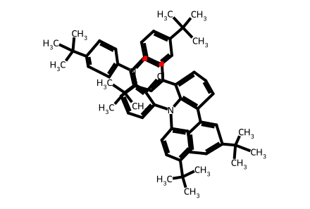 CC(C)(C)c1ccc(N(c2ccc(C(C)(C)C)cc2)c2cccc(N(c3ccc(C(C)(C)C)cc3)c3c(-c4cccc(C(C)(C)C)c4)cccc3-c3cccc(C(C)(C)C)c3)c2Cl)cc1